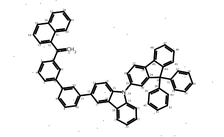 C=C(c1cccc(-c2cccc(-c3ccc4c(c3)c3ccccc3n4-c3ccc4c(c3)C(c3ccccc3)(c3ccccc3)c3ccccc3-4)c2)c1)c1cccc2ccccc12